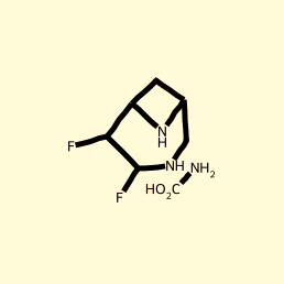 FC1NCC2CC(N2)C1F.NC(=O)O